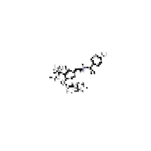 Cc1ccc(C(=O)/N=N/C=C2C=C(C(C)(C)C)C(=O)C(C(C)(C)C)=C2)cc1